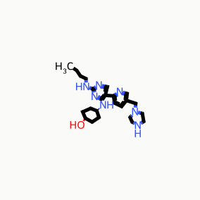 CCCCNc1ncc(-c2ccc(CN3CCNCC3)cn2)c(N[C@H]2CC[C@H](O)CC2)n1